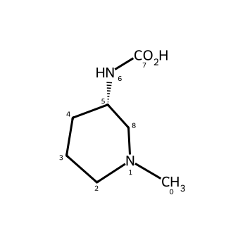 CN1CCC[C@H](NC(=O)O)C1